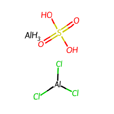 O=S(=O)(O)O.[AlH3].[Cl][Al]([Cl])[Cl]